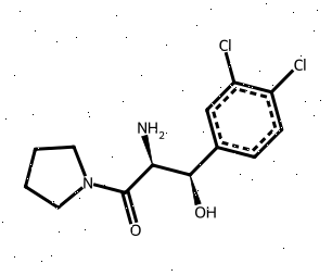 N[C@H](C(=O)N1CCCC1)[C@H](O)c1ccc(Cl)c(Cl)c1